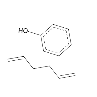 C=CCCC=C.Oc1ccccc1